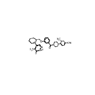 CN1CC(C#N)=CC=C1N1CCN(C(=O)c2cccc(OCC3CCCCN3c3cn[nH]c(=O)c3C(F)(F)F)c2)CC1